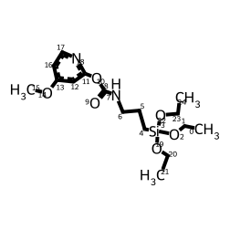 CCO[Si](CCCNC(=O)Oc1cc(OC)ccn1)(OCC)OCC